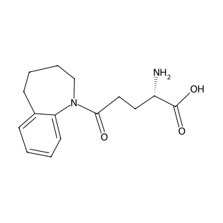 N[C@@H](CCC(=O)N1CCCCc2ccccc21)C(=O)O